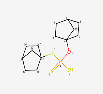 S=P(S)(OC12CCC(CC1)C2)SC12CCC(CC1)C2